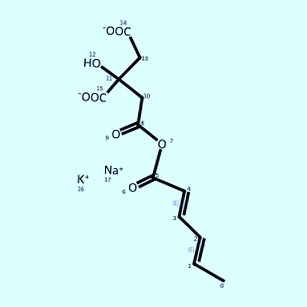 C/C=C/C=C/C(=O)OC(=O)CC(O)(CC(=O)[O-])C(=O)[O-].[K+].[Na+]